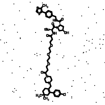 Cc1ncsc1-c1ccc(CNC(=O)[C@@H]2C[C@@H](O)CN2C(=O)[C@@H](NC(=O)CCOCCOCCOCCC(=O)N2CCN(CC3=C(c4ccc(Cl)cc4)CC(C)(C)CC3)CC2)C(C)(C)C)cc1